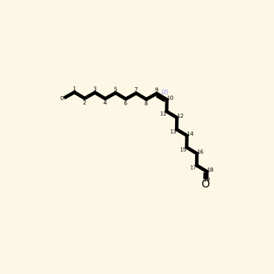 CCCCCCCCC/C=C\CCCCCCCC=O